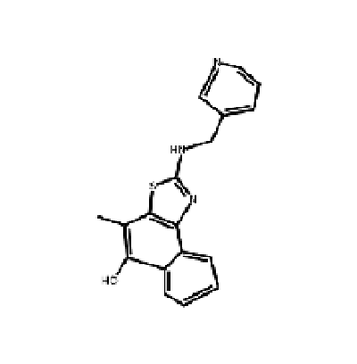 Cc1c(O)c2ccccc2c2nc(NCc3cccnc3)sc12